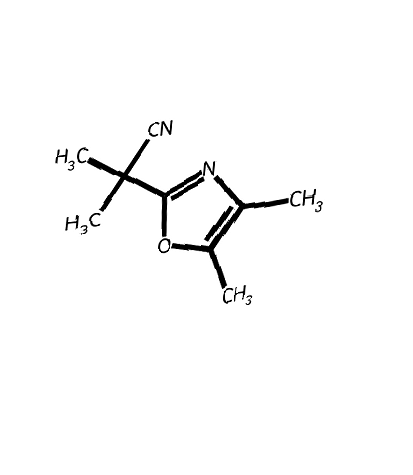 Cc1nc(C(C)(C)C#N)oc1C